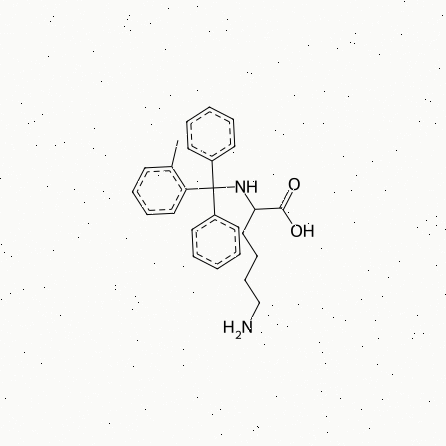 Cc1ccccc1C(NC(CCCCN)C(=O)O)(c1ccccc1)c1ccccc1